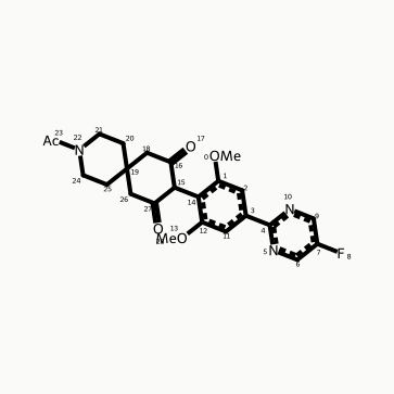 COc1cc(-c2ncc(F)cn2)cc(OC)c1C1C(=O)CC2(CCN(C(C)=O)CC2)CC1=O